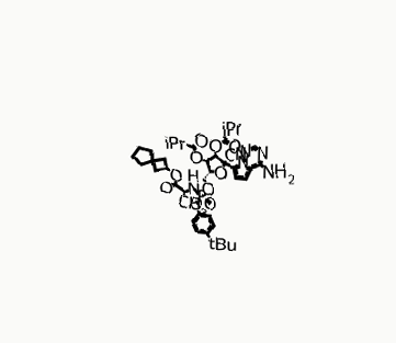 CC(C)C(=O)O[C@H]1[C@@H](OC(=O)C(C)C)[C@](C#N)(c2ccc3c(N)ncnn23)O[C@@H]1COP(=O)(N[C@@H](C)C(=O)OC1CC2(CCCC2)C1)Oc1ccc(C(C)(C)C)cc1